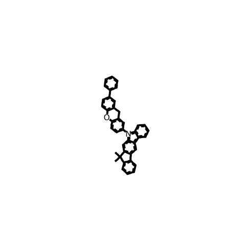 CC1(C)c2ccccc2-c2cc3c4ccccc4n(-c4ccc5c(c4)Cc4cc(-c6ccccc6)ccc4O5)c3cc21